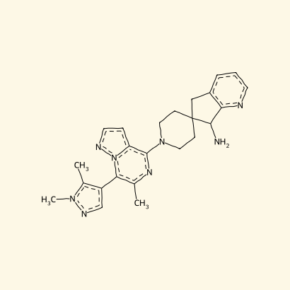 Cc1nc(N2CCC3(CC2)Cc2cccnc2C3N)c2ccnn2c1-c1cnn(C)c1C